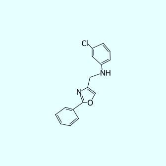 Clc1cccc(NCc2coc(-c3ccccc3)n2)c1